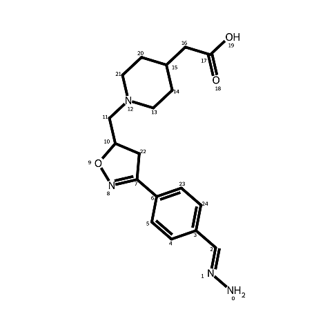 NN=Cc1ccc(C2=NOC(CN3CCC(CC(=O)O)CC3)C2)cc1